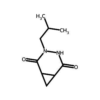 CC(C)CN1NC(=O)C2CC2C1=O